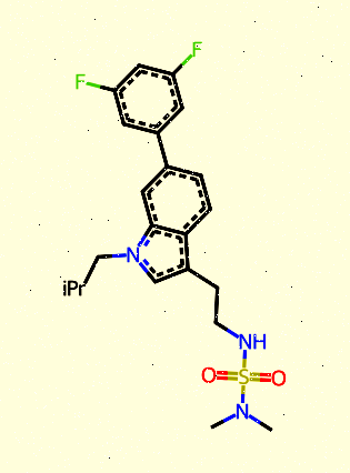 CC(C)Cn1cc(CCNS(=O)(=O)N(C)C)c2ccc(-c3cc(F)cc(F)c3)cc21